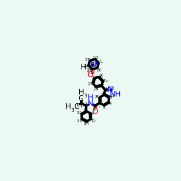 CC(C)C(NC(=O)c1ccc2[nH]nc(-c3ccc(OC4CC5CC(C4)N5C)cc3)c2c1)c1ccccc1